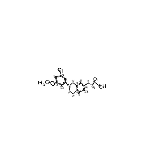 COc1cc(Cl)cc(N2CCc3ccc(CCC(=O)O)cc3C2)c1